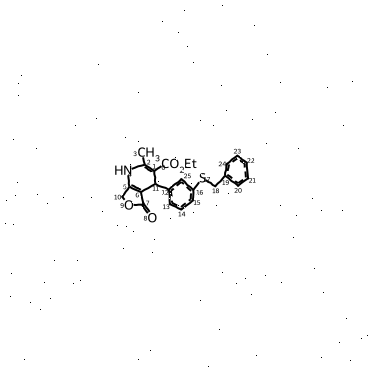 CCOC(=O)C1=C(C)NC2=C(C(=O)OC2)C1c1cccc(SCc2ccccc2)c1